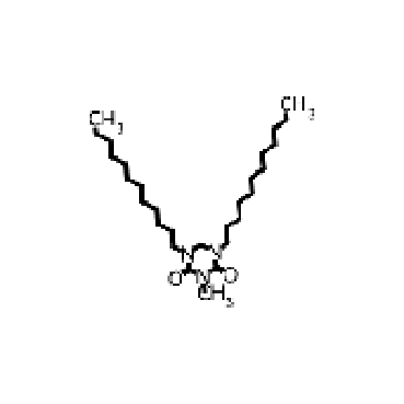 CCCCCCCCCCCCN1CN(CCCCCCCCCCCC)C(=O)N(C)C1=O